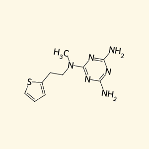 CN(CCc1cccs1)c1nc(N)nc(N)n1